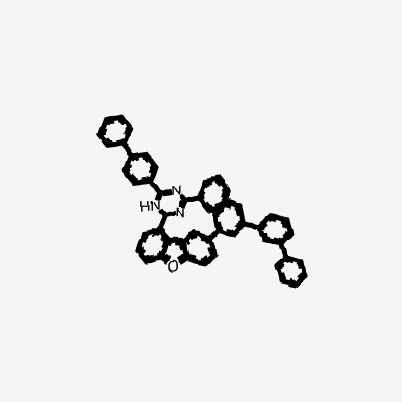 c1ccc(C2=NC(c3cccc4oc5ccc(-c6cccc(-c7cccc(-c8ccccc8)c7)c6)cc5c34)NC(c3ccc(-c4ccccc4)cc3)=N2)cc1